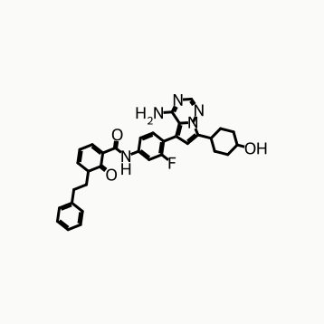 Nc1ncnn2c(C3CCC(O)CC3)cc(-c3ccc(NC(=O)C4=CC=CC(CCc5ccccc5)C4=O)cc3F)c12